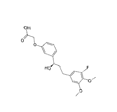 COc1cc(CC[C@@H](O)c2cccc(OCC(=O)O)c2)cc(F)c1OC